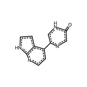 O=c1cnc(-c2ccnc3[nH]ccc23)c[nH]1